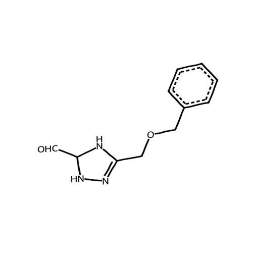 O=CC1NN=C(COCc2ccccc2)N1